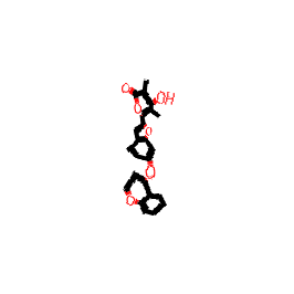 Cc1c(-c2cc3ccc(OC4CCOc5ccccc54)cc3o2)oc(=O)c(C)c1O